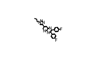 CCCn1cc(-c2cnc3nc(-c4ccc(F)cc4)c(-c4ccc(F)cc4)nc3c2)nn1